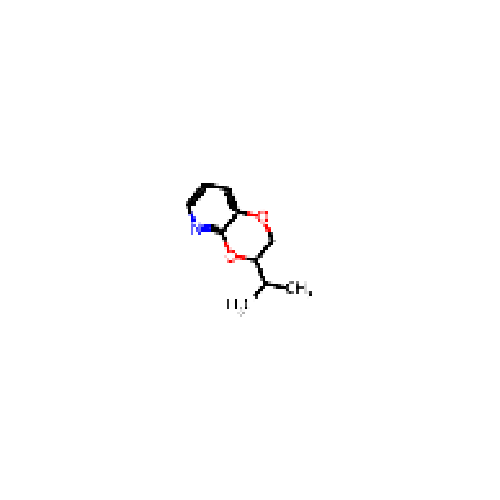 CC(C)C1COc2cccnc2O1